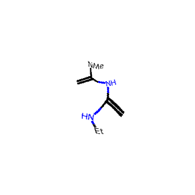 C=C(NC)NC(=C)NCC